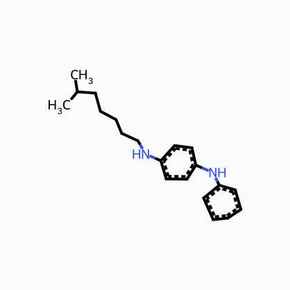 CC(C)CCCCCNc1ccc(Nc2ccccc2)cc1